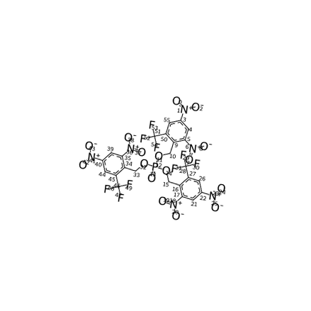 O=[N+]([O-])c1cc([N+](=O)[O-])c(COP(=O)(OCc2c([N+](=O)[O-])cc([N+](=O)[O-])cc2C(F)(F)F)OCc2c([N+](=O)[O-])cc([N+](=O)[O-])cc2C(F)(F)F)c(C(F)(F)F)c1